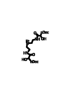 CCCCCCCCCCC(O)C(=O)NCCN(CC)CCNC(=O)C(O)CCCCCCCCCC